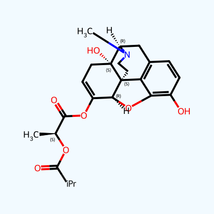 CC(C)C(=O)O[C@@H](C)C(=O)OC1=CC[C@@]2(O)[C@H]3Cc4ccc(O)c5c4[C@@]2(CCN3C)[C@H]1O5